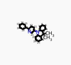 CC1(C)c2ccccc2N(c2ccc(-c3ccccc3)nc2)c2ccccc21